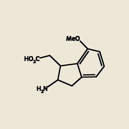 COc1cccc2c1C(CC(=O)O)C(N)C2